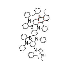 CCc1ccccc1N(C1=CCC1(C)[C@H](C)CC)c1cc2c3c(c1)N(c1ccccc1)c1cc4c(cc1B3c1ccccc1N2c1ccccc1)B1c2ccccc2N(c2ccccc2)c2cc(N(c3ccccc3CC)c3ccccc3CC)cc(c21)N4c1ccccc1-c1ccccc1